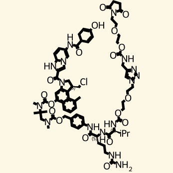 Cc1cccc2c(OC(=O)N(C)C(C)(C)CN(C)C(=O)OCc3ccc(NC(=O)[C@H](CCCNC(N)=O)NC(=O)[C@@H](NC(=O)OCCOCCn4cc(CNC(=O)OCCOCCN5C(=O)CCC5=O)nn4)C(C)C)cc3)cc3c(c12)[C@H](CCl)CN3C(=O)C1=CN2C=C(NC(=O)C3C=CC(O)=CC3)C=CC2N1